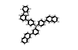 c1cc(-c2ccc3ccccc3c2)cc(N(c2ccc(-c3ccc4ccccc4c3)cc2)c2ccc(-c3cccc4c3sc3ccccc34)cc2)c1